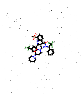 CS(=O)(=O)c1cccc2c(C(=O)N[C@H](c3ccccc3)C(F)(F)F)c(CN3CCC(N4CCCCCC4)CC3)c(-c3cccc(C(F)(F)F)c3)nc12